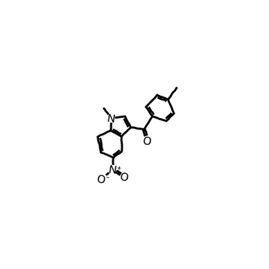 Cc1ccc(C(=O)c2cn(C)c3ccc([N+](=O)[O-])cc23)cc1